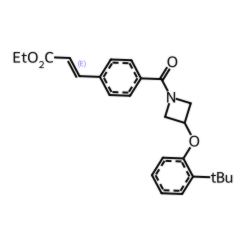 CCOC(=O)/C=C/c1ccc(C(=O)N2CC(Oc3ccccc3C(C)(C)C)C2)cc1